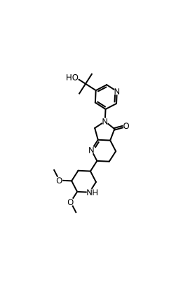 COC1CC(C2CCC3C(=O)N(c4cncc(C(C)(C)O)c4)CC3=N2)CNC1OC